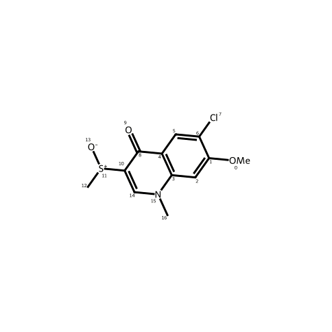 COc1cc2c(cc1Cl)c(=O)c([S+](C)[O-])cn2C